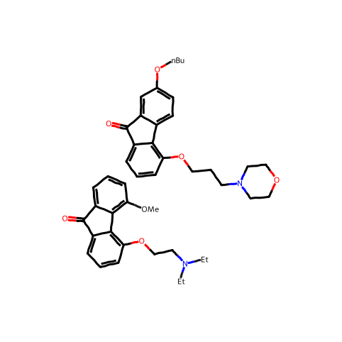 CCCCOc1ccc2c(c1)C(=O)c1cccc(OCCCN3CCOCC3)c1-2.CCN(CC)CCOc1cccc2c1-c1c(OC)cccc1C2=O